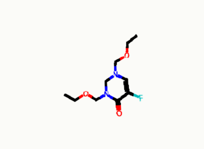 CCOCN1C=C(F)C(=O)N(COCC)C1